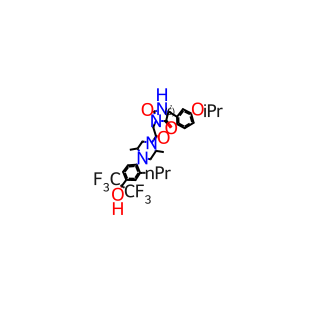 CCCc1cc(C(O)(C(F)(F)F)C(F)(F)F)ccc1N1CC(C)N(C(=O)CN2C(=O)N[C@@](C)(c3cccc(OC(C)C)c3)C2=O)CC1C